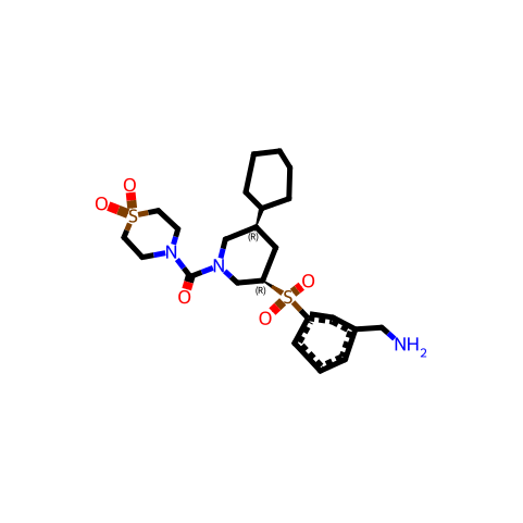 NCc1cccc(S(=O)(=O)[C@@H]2C[C@H](C3CCCCC3)CN(C(=O)N3CCS(=O)(=O)CC3)C2)c1